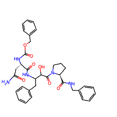 NC(=O)C[C@H](NC(=O)OCc1ccccc1)C(=O)NC(Cc1ccccc1)C(O)C(=O)N1CCC[C@H]1C(=O)NCc1ccccc1